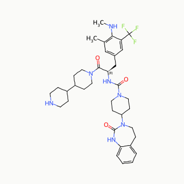 CNc1c(C)cc(C[C@@H](NC(=O)N2CCC(N3CCc4ccccc4NC3=O)CC2)C(=O)N2CCC(C3CCNCC3)CC2)cc1C(F)(F)F